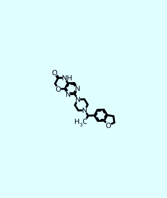 CC(c1ccc2c(c1)OCC2)N1CCN(c2ncc3c(n2)OCC(=O)N3)CC1